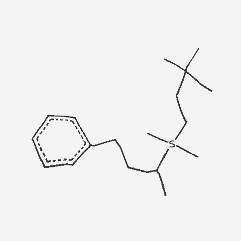 CC(CCc1ccccc1)S(C)(C)CCC(C)(C)C